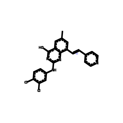 Cc1cc(/C=C/c2ccncc2)c2nc(Nc3ccc(Cl)c(Cl)c3)nc(O)c2c1